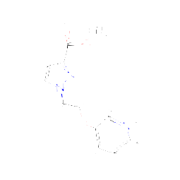 COC(=O)c1ccn(CCOc2cccnc2)n1